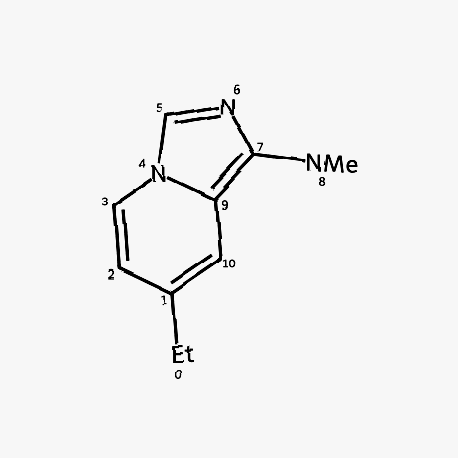 CCc1ccn2cnc(NC)c2c1